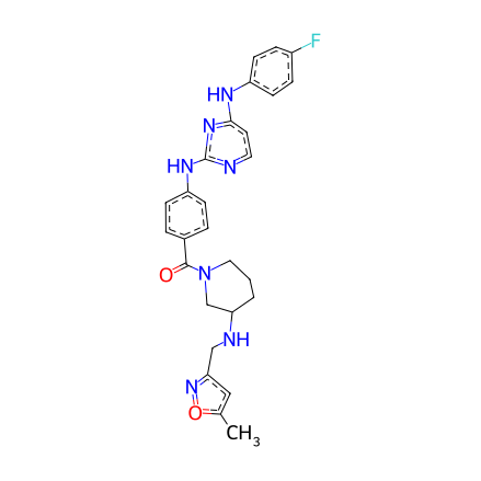 Cc1cc(CNC2CCCN(C(=O)c3ccc(Nc4nccc(Nc5ccc(F)cc5)n4)cc3)C2)no1